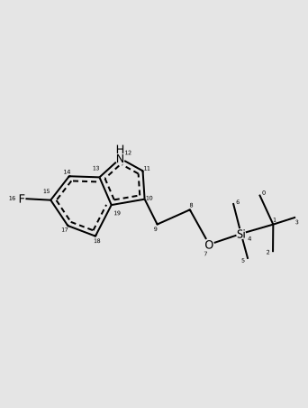 CC(C)(C)[Si](C)(C)OCCc1c[nH]c2cc(F)ccc12